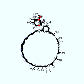 C[C@@H]1[C@H](O)[C@@H](C)/C=C/C=C/C=C/C=C/C=C/C=C/C=C/[C@H](O[C@@H]2O[C@H](C)[C@@H](O)[C@H](N)[C@@H]2O)C[C@@H]2O[C@](O)(C[C@@H](O)C[C@@H](O)[C@H](O)CC[C@@H](O)C[C@@H](O)CC(=O)O[C@H]1C)C[C@H](O)[C@H]2C(=O)NC(CO)CO